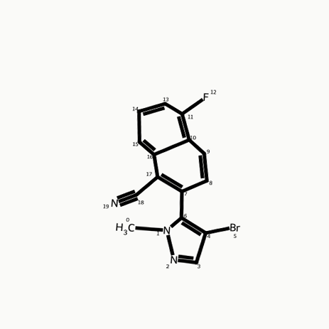 Cn1ncc(Br)c1-c1ccc2c(F)cccc2c1C#N